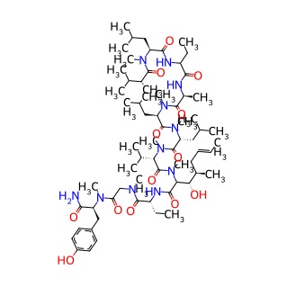 C/C=C/C[C@@H](C)[C@H](O)C(C(=O)N[C@H](CC)C(=O)N(C)CC(=O)N(C)[C@@H](Cc1ccc(O)cc1)C(N)=O)N(C)C(=O)[C@H](C(C)C)N(C)C(=O)[C@@H](CC(C)C)N(C)C(=O)[C@@H](CC(C)C)N(C)C(=O)[C@H](C)NC(=O)C(CC)NC(=O)[C@H](CC(C)C)N(C)C(=O)[C@H](C)C(C)C